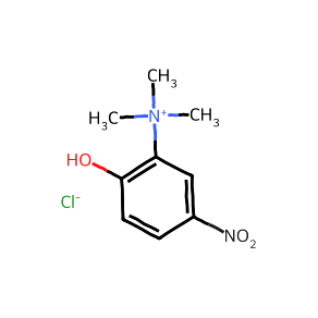 C[N+](C)(C)c1cc([N+](=O)[O-])ccc1O.[Cl-]